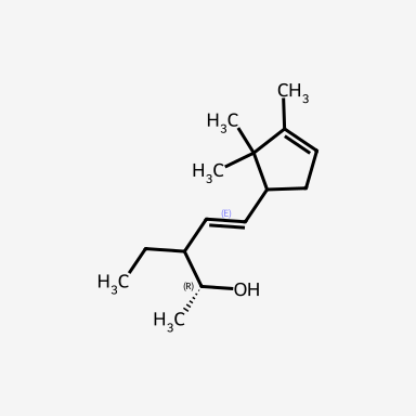 CCC(/C=C/C1CC=C(C)C1(C)C)[C@@H](C)O